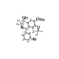 COc1cc2c(c3c1OC(C)(C)C3)C(c1cccc(Br)c1)=NC(C)(C)C2O